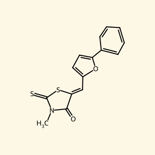 CN1C(=O)C(=Cc2ccc(-c3ccccc3)o2)SC1=S